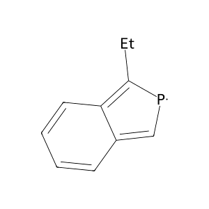 CCC1=c2ccccc2=C[P]1